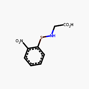 O=C(O)CNSc1ccccc1[N+](=O)[O-]